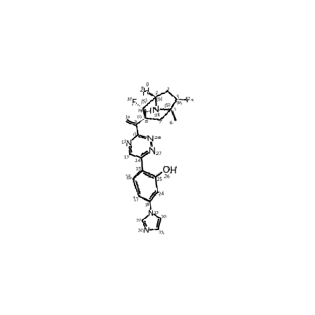 [2H][C@]12C[C@@H](F)[C@](C)(C[C@@H](C(=C)c3ncc(-c4ccc(-n5ccnc5)cc4O)nn3)[C@@H]1F)N2